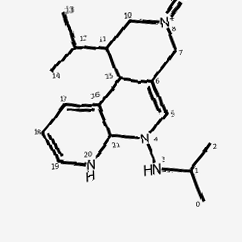 CC(C)NN1C=C2C[N+](=O)CC(C(C)C)C2C2=CC=CNC21